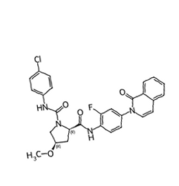 CO[C@@H]1C[C@H](C(=O)Nc2ccc(-n3ccc4ccccc4c3=O)cc2F)N(C(=O)Nc2ccc(Cl)cc2)C1